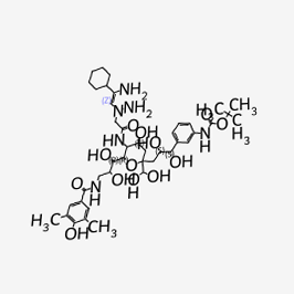 Cc1cc(C(=O)NCC(O)[C@@H](O)[C@@H]2OC(C[C@H](O)[C@@H](O)c3cccc(NC(=O)OC(C)(C)C)c3)(C(O)O)C[C@H](O)C2NC(=O)CN(N)/C=C(\N)C2CCCCC2)cc(C)c1O